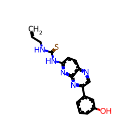 C=CCNC(=S)Nc1ccc2ncc(-c3cccc(O)c3)nc2n1